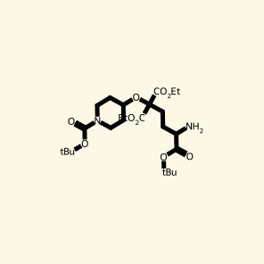 CCOC(=O)C(CCC(N)C(=O)OC(C)(C)C)(OC1CCN(C(=O)OC(C)(C)C)CC1)C(=O)OCC